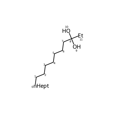 CCCCCCCCCCCCCCC(O)(O)CC